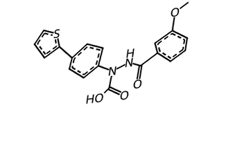 COc1cccc(C(=O)NN(C(=O)O)c2ccc(-c3cccs3)cc2)c1